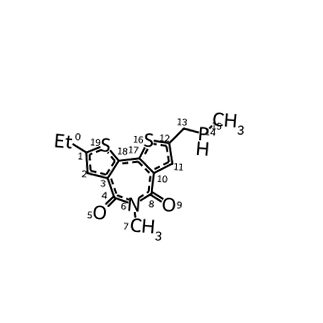 CCc1cc2c(=O)n(C)c(=O)c3cc(CPC)sc3c2s1